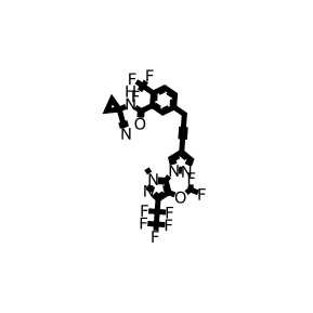 Cn1nc(C(F)(F)C(F)(F)F)c(OC(F)F)c1-n1cc(C#CCc2ccc(C(F)(F)F)c(C(=O)NC3(C#N)CC3)c2)cn1